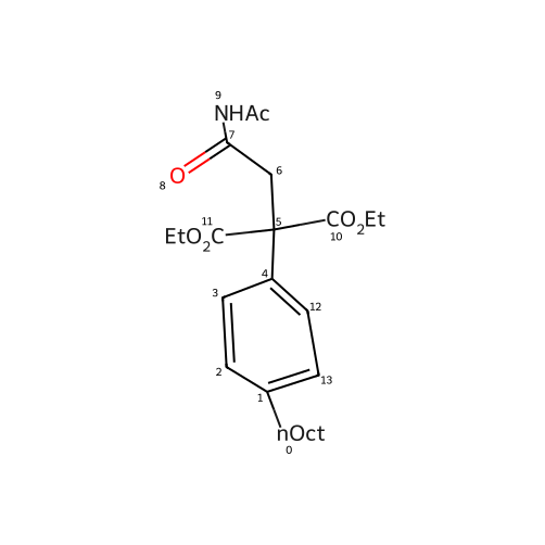 CCCCCCCCc1ccc(C(CC(=O)NC(C)=O)(C(=O)OCC)C(=O)OCC)cc1